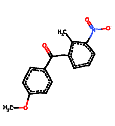 COc1ccc(C(=O)c2cccc([N+](=O)[O-])c2C)cc1